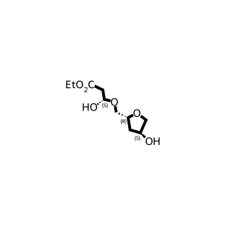 CCOC(=O)C[C@@H](O)OC[C@H]1C[C@H](O)CO1